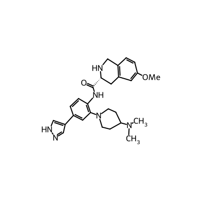 COc1ccc2c(c1)C[C@H](C(=O)Nc1ccc(-c3cn[nH]c3)cc1N1CCC(N(C)C)CC1)NC2